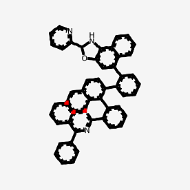 c1ccc(-c2nc(-c3ccccc3-c3c(-c4ccccc4-c4cc5c(c6ccccc46)NC(c4ccccn4)O5)ccc4ccccc34)nc3ccccc23)cc1